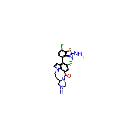 Nc1nc2c(-c3c(F)cc4c5c3ccn5CCC3CNCCN3C4=O)ccc(F)c2s1